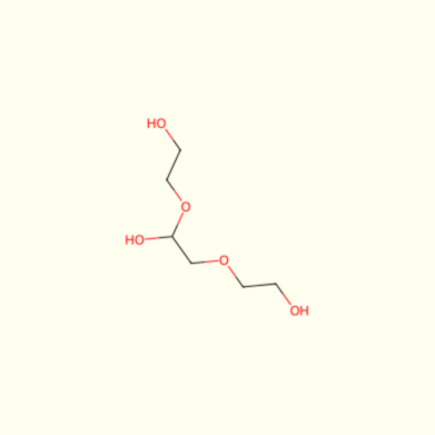 OCCOCC(O)OCCO